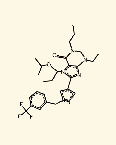 CCCN1CN(CC)c2nc(-c3cnn(Cc4cccc(C(F)(F)F)c4)c3)n(C(CC)OC(C)C)c2C1=O